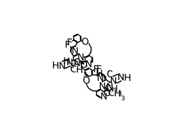 CC(C)c1nccc2c1-n1c(=O)nc(N3CCNC[C@@H]3C)c3cc(F)c(nc31)-c1c(F)cc(CC(C)c3nccc4c3-n3c(=O)nc(N5CCNC[C@@H]5C)c5cc(F)c(nc53)-c3c(F)cccc3OCCC4)cc1OCCC2